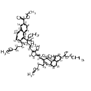 CCOC(=O)c1ccc2c3c(ccc2c1)[N+](CCCOC)=C(/C=C/C1=C(Cl)C(=C/C=C2/N(CCCOC)c4ccc5cc(C(=O)OCC)ccc5c4C2(C)C)/CC1)C3(C)C